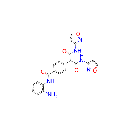 Nc1ccccc1NC(=O)c1ccc(C(C(=O)Nc2ccon2)C(=O)Nc2ccon2)cc1